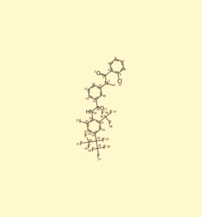 CN(C(=O)c1ccccc1Cl)c1cccc(C(=O)Nc2c(I)cc(C(F)(C(F)(F)F)C(F)(F)F)cc2C(F)(F)F)c1